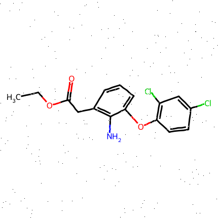 CCOC(=O)Cc1cccc(Oc2ccc(Cl)cc2Cl)c1N